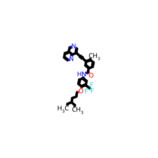 CCC(CC)CCCOc1ccc(NC(=O)c2ccc(C)c(C#Cc3cncc4cccnc34)c2)cc1C(F)(F)F